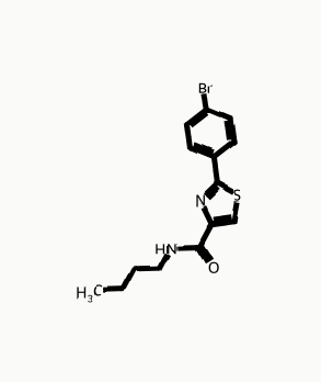 CCCCNC(=O)c1csc(-c2ccc(Br)cc2)n1